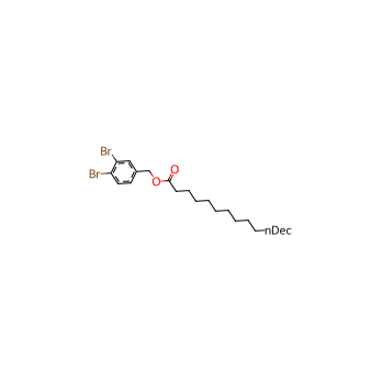 CCCCCCCCCCCCCCCCCCCC(=O)OCc1ccc(Br)c(Br)c1